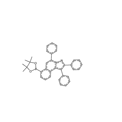 CC1(C)OB(c2cccc3c2cc(-c2ccccc2)n2nc(-c4ccccc4)c(-c4ccccc4)c32)OC1(C)C